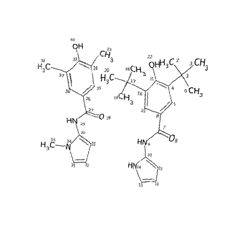 CC(C)(C)c1cc(C(=O)Nc2ccc[nH]2)cc(C(C)(C)C)c1O.Cc1cc(C(=O)Nc2cccn2C)cc(C)c1O